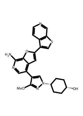 COc1nn([C@H]2CC[C@@H](O)CC2)cc1-c1cnc(N)c2oc(-c3csc4cnccc34)cc12